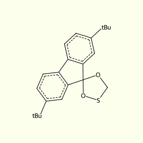 CC(C)(C)c1ccc2c(c1)C1(OCSO1)c1cc(C(C)(C)C)ccc1-2